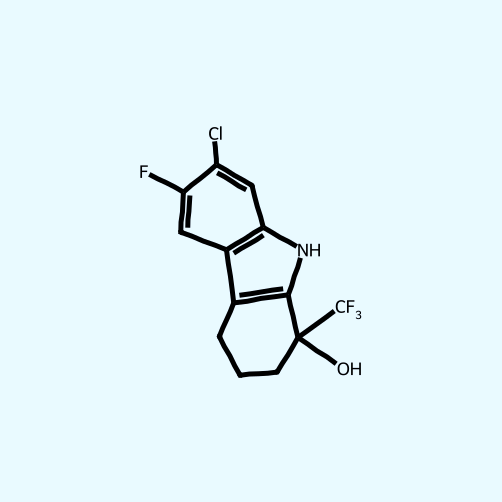 OC1(C(F)(F)F)CCCc2c1[nH]c1cc(Cl)c(F)cc21